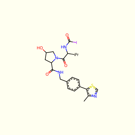 Cc1ncsc1-c1ccc(CNC(=O)C2CC(O)CN2C(=O)C(NC(=O)I)C(C)C)cc1